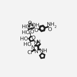 NC(=O)c1ccc(OCC(CO)(OC[C@H]2O[C@@H](n3ncc4c(NC5CCCC5)nc(Cl)nc43)[C@H](O)[C@@H]2O)P(=O)(O)O)cc1